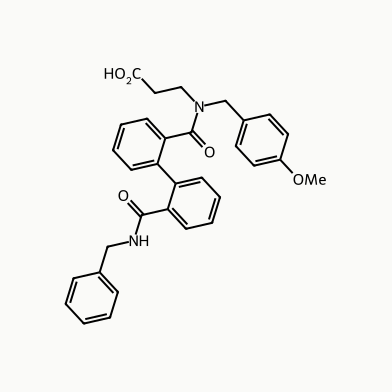 COc1ccc(CN(CCC(=O)O)C(=O)c2ccccc2-c2ccccc2C(=O)NCc2ccccc2)cc1